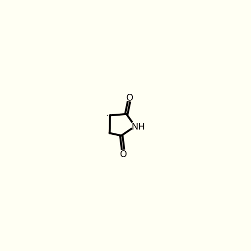 O=C1[CH]CC(=O)N1